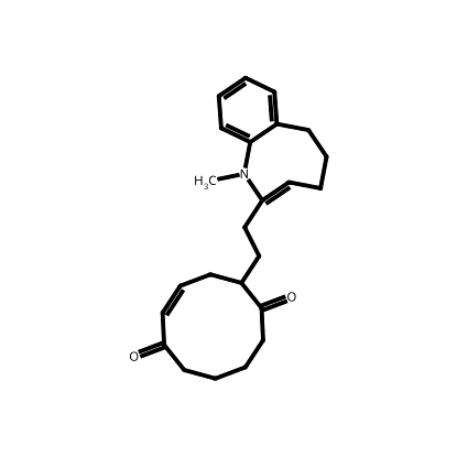 CN1/C(CCC2C/C=C\C(=O)CCCCC2=O)=C/CCCc2ccccc21